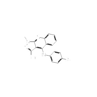 CC(=O)c1ccc(Nc2c3ccccc3nc3c2c(C(C)C)nn3C)cc1